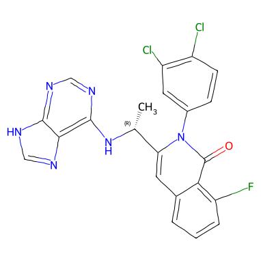 C[C@@H](Nc1ncnc2[nH]cnc12)c1cc2cccc(F)c2c(=O)n1-c1ccc(Cl)c(Cl)c1